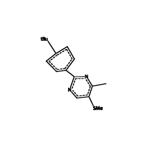 CSc1cnc(-c2ccc(C(C)(C)C)cc2)nc1C